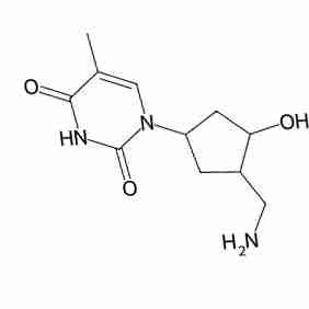 Cc1cn(C2CC(O)C(CN)C2)c(=O)[nH]c1=O